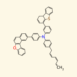 C=C/C=C\C=C/Cc1ccc(N(c2ccc(-c3ccc4ccc5oc6ccccc6c5c4c3)cc2)c2cccc(C3=C4Sc5ccccc5C4CC=C3)c2)cc1